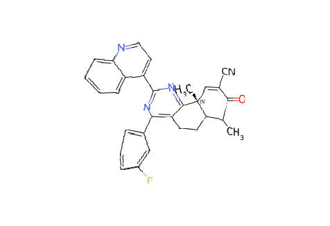 CC1C(=O)C(C#N)=C[C@@]2(C)c3nc(-c4ccnc5ccccc45)nc(-c4cccc(F)c4)c3CCC12